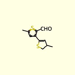 Cc1cc(C2=CC(C)CS2)c(C=O)s1